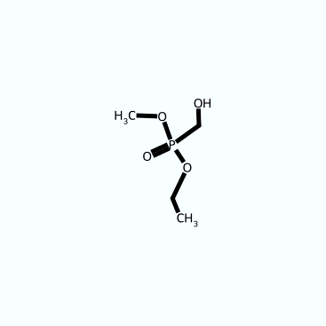 CCOP(=O)(CO)OC